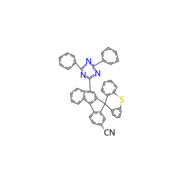 N#Cc1ccc2c(c1)C1(c3ccccc3Sc3ccccc31)c1cc(-c3nc(-c4ccccc4)nc(-c4ccccc4)n3)c3ccccc3c1-2